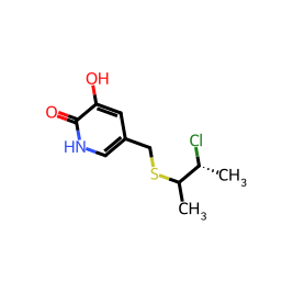 CC(SCc1c[nH]c(=O)c(O)c1)[C@@H](C)Cl